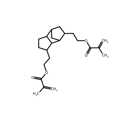 C=C(C)C(=O)OCCC1CC2CC1C1C(CCOC(=O)C(=C)C)CCC21